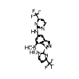 OB(O)c1cc(Nc2nccc(C(F)(F)F)n2)cc2cnn(-c3nccc(C(F)(F)F)n3)c12